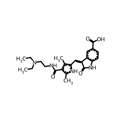 CCN(CC)CCNC(=O)c1c(C)[nH]c(C=C2C(=O)Nc3ccc(C(=O)O)cc32)c1C